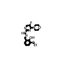 CCOc1cccc(/C=N/NC2=NC(N3CCOCC3)C(F)C=N2)c1O